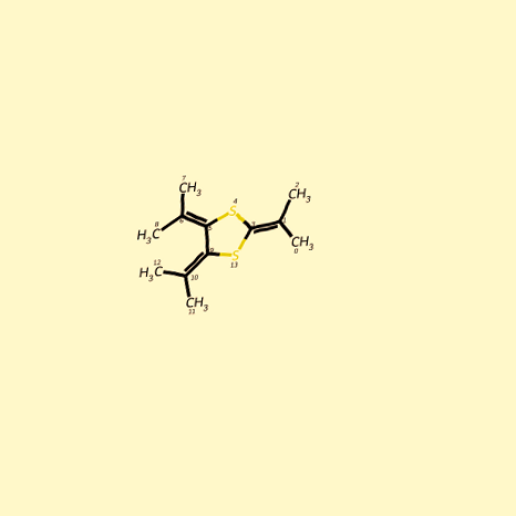 CC(C)=C1SC(=C(C)C)C(=C(C)C)S1